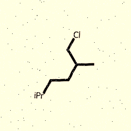 CC(C)CCC(C)CCl